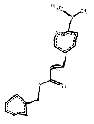 CN(C)c1ccc(/C=C/C(=O)OCc2ccccc2)cn1